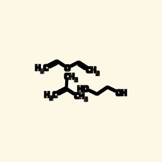 C=C(C)C.C=COC=C.OCCO